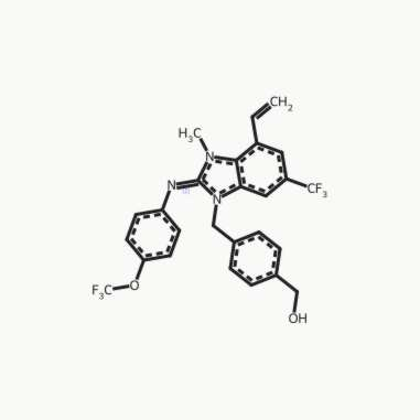 C=Cc1cc(C(F)(F)F)cc2c1n(C)/c(=N/c1ccc(OC(F)(F)F)cc1)n2Cc1ccc(CO)cc1